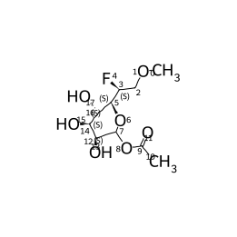 COC[C@H](F)[C@H]1OC(OC(C)=O)[C@@H](O)[C@@H](O)[C@@H]1O